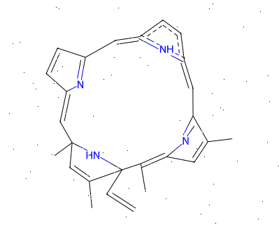 C=CC12NC(C)(C=C3C=CC(=N3)C=c3ccc([nH]3)=CC3=NC(=C1C)C=C3C)C=C2C